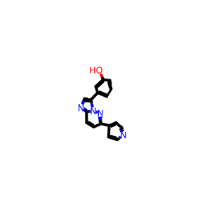 Oc1cccc(-c2cnc3ccc(-c4ccncc4)nn23)c1